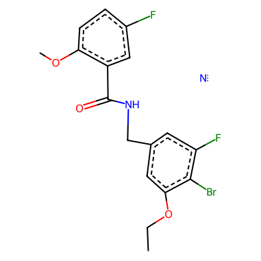 CCOc1cc(CNC(=O)c2cc(F)ccc2OC)cc(F)c1Br.[N]